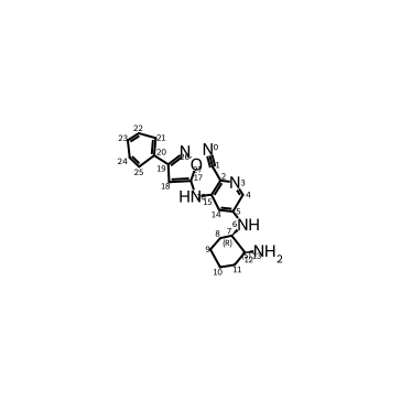 N#Cc1ncc(N[C@@H]2CCCC[C@@H]2N)cc1Nc1cc(-c2ccccc2)no1